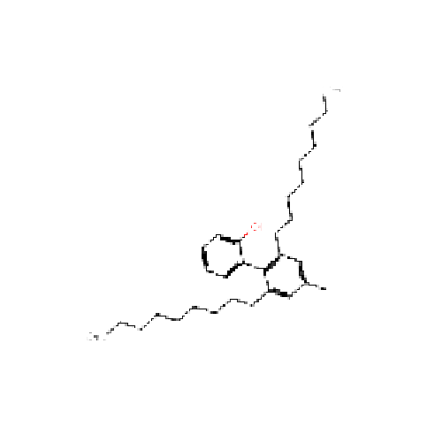 CCCCCCCCCCCCCCCCCCc1cc(C)cc(CCCCCCCCCCCCCCCCCC)c1-c1ccccc1O